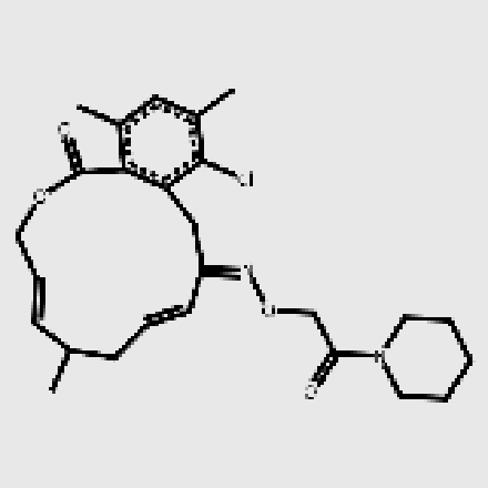 Cc1cc(C)c2c(c1Cl)CC(=N/OCC(=O)N1CCCCC1)/C=C/CC(C)/C=C/COC2=O